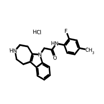 Cc1ccc(NC(=O)Cn2c3c(c4ccccc42)CCNCC3)c(F)c1.Cl